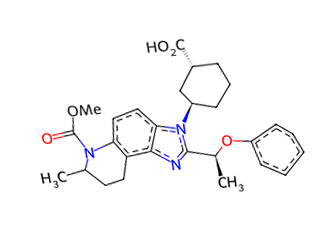 COC(=O)N1c2ccc3c(nc([C@H](C)Oc4ccccc4)n3[C@@H]3CCC[C@@H](C(=O)O)C3)c2CCC1C